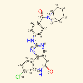 O=C1Cc2cnc(Nc3ccc(C(=O)N4CC5CCCC4C5)cc3)nc2-c2ccc(Cl)cc2N1